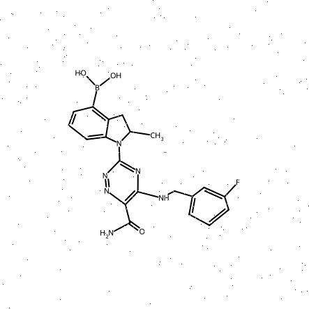 CC1Cc2c(B(O)O)cccc2N1c1nnc(C(N)=O)c(NCc2cccc(F)c2)n1